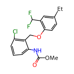 CCc1ccc(OCc2c(Cl)cccc2NC(=O)OC)c(C(F)F)c1